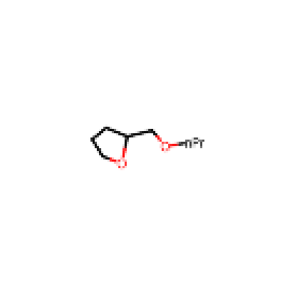 [CH2]CCOCC1CCCO1